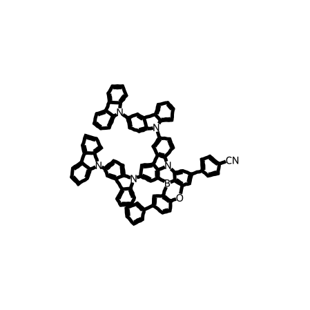 N#Cc1ccc(-c2cc3c4c(c2)-n2c5ccc(-n6c7ccccc7c7cc(-n8c9ccccc9c9ccccc98)ccc76)cc5c5cc(-n6c7ccccc7c7cc(-n8c9ccccc9c9ccccc98)ccc76)cc(c52)B4c2cc(-c4ccccc4)ccc2O3)cc1